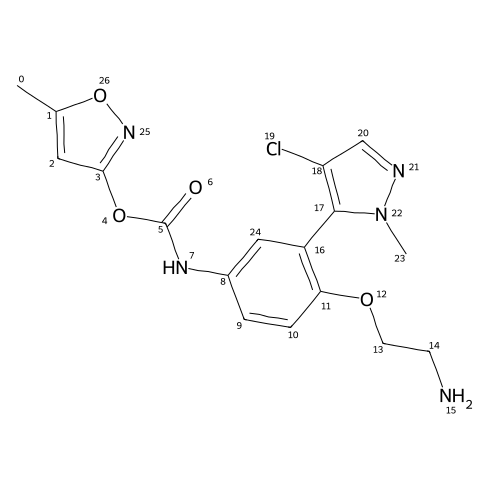 Cc1cc(OC(=O)Nc2ccc(OCCN)c(-c3c(Cl)cnn3C)c2)no1